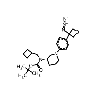 CC(C)(C)OC(=O)N(CC1CCC1)[C@@H]1CCCN(c2ccc(C3(N=[N+]=[N-])COC3)cc2)C1